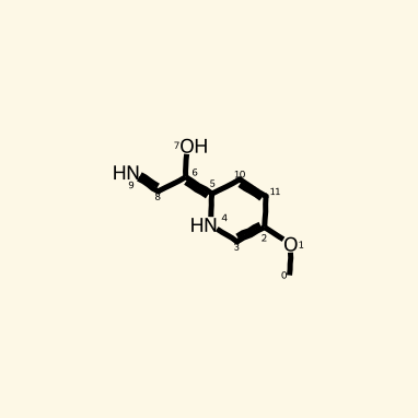 COC1=CN/C(=C(/O)C=N)C=C1